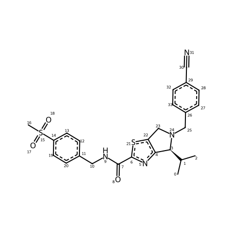 CC(C)[C@H]1c2nc(C(=O)NCc3ccc(S(C)(=O)=O)cc3)sc2CN1Cc1ccc(C#N)cc1